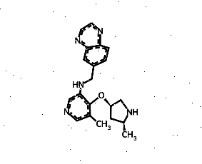 Cc1cncc(NCc2ccc3nccnc3c2)c1O[C@H]1CN[C@@H](C)C1